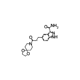 NC(=O)c1n[nH]c2ccc(C[CH]C(=O)N3CCC4(CC3)OCCO4)cc12